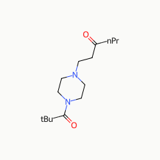 CCCC(=O)CCN1CCN(C(=O)C(C)(C)C)CC1